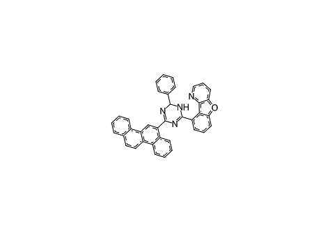 c1ccc(C2N=C(c3cc4c5ccccc5ccc4c4ccccc34)N=C(c3cccc4oc5cccnc5c34)N2)cc1